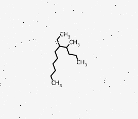 CCCCCCC(CC)[C](C)CCC